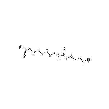 CCOCCOCC(=O)NCCOCCOCC(=O)C(C)C